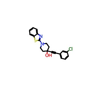 OC1(C#Cc2cccc(Cl)c2)CCN(c2nc3ccccc3s2)CC1